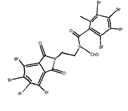 Cc1c(Br)c(Br)c(Br)c(Br)c1C(=O)N(C=O)CCN1C(=O)c2c(Br)c(Br)c(Br)c(Br)c2C1=O